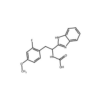 COc1ccc(CC(NC(=O)O)c2nc3ccccc3[nH]2)c(F)c1